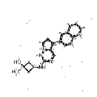 C[C@]1(O)C[C@@H](Nc2ncc3c(-c4cnc5ncccc5c4)ccn3n2)C1